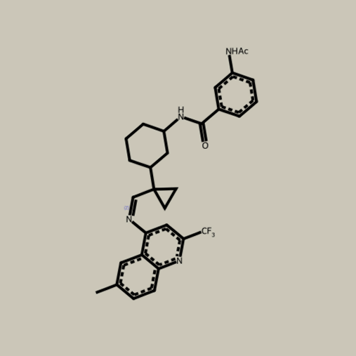 CC(=O)Nc1cccc(C(=O)NC2CCCC(C3(/C=N\c4cc(C(F)(F)F)nc5ccc(C)cc45)CC3)C2)c1